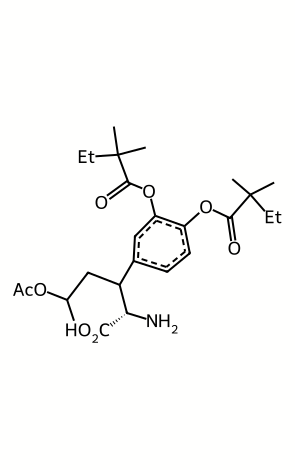 CCC(C)(C)C(=O)Oc1ccc(C(CC(C)OC(C)=O)[C@H](N)C(=O)O)cc1OC(=O)C(C)(C)CC